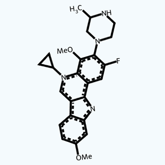 COc1ccc2c3cn(C4CC4)c4c(OC)c(N5CCNC(C)C5)c(F)cc4c-3nc2c1